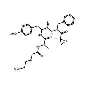 COCCOCC(=O)NC(C)C(=O)NC(Cc1ccc(OC)cc1)C(=O)NC(Cc1ccccc1)C(=O)C1(C)CO1